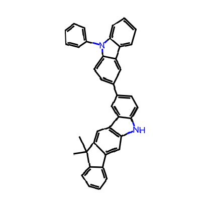 CC1(C)c2ccccc2-c2cc3[nH]c4ccc(-c5ccc6c(c5)c5ccccc5n6-c5ccccc5)cc4c3cc21